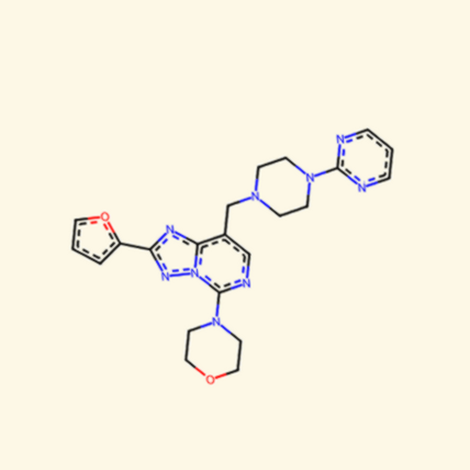 c1cnc(N2CCN(Cc3cnc(N4CCOCC4)n4nc(-c5ccco5)nc34)CC2)nc1